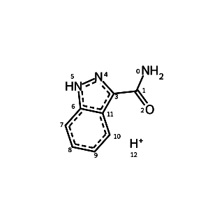 NC(=O)c1n[nH]c2ccccc12.[H+]